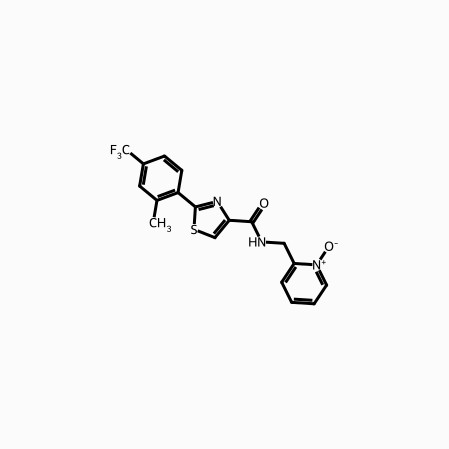 Cc1cc(C(F)(F)F)ccc1-c1nc(C(=O)NCc2cccc[n+]2[O-])cs1